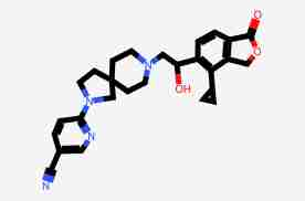 N#Cc1ccc(N2CCC3(CCN(CC(O)c4ccc5c(c4C4CC4)COC5=O)CC3)C2)nc1